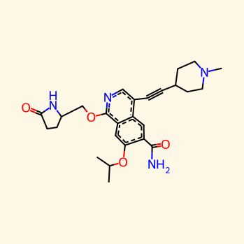 CC(C)Oc1cc2c(OCC3CCC(=O)N3)ncc(C#CC3CCN(C)CC3)c2cc1C(N)=O